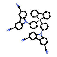 N#Cc1ccc2c(c1)c1cc(C#N)ccc1n2-c1cccc([Si]2(c3cccc(-n4c5ccc(C#N)cc5c5cc(C#N)ccc54)c3)c3ccccc3-c3ccccc32)c1